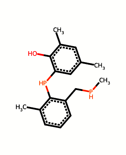 CPCc1cccc(C)c1Pc1cc(C)cc(C)c1O